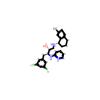 CCc1ccc2c(c1)[C@@H](NC[C@@H](O)[C@H](Cc1cc(F)cc(F)c1)Nc1ccccn1)CCC2